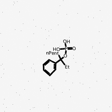 CCCCCC(CC)(OP(=O)(O)O)c1ccccc1